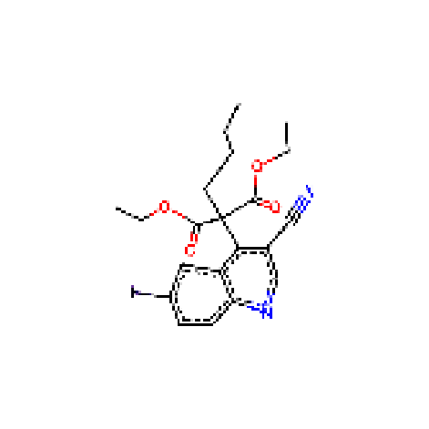 CCCCC(C(=O)OCC)(C(=O)OCC)c1c(C#N)cnc2ccc(I)cc12